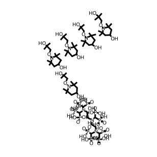 CC(C)(O)CON1C(C)(C)CC(O)CC1(C)C.CC(C)(O)CON1C(C)(C)CC(O)CC1(C)C.CC(C)(O)CON1C(C)(C)CC(O)CC1(C)C.CC(C)(O)CON1C(C)(C)CC(O)CC1(C)C.CC(C)(O)CON1C(C)(C)CC(O)CC1(C)C.O=P(O)(O)C(N(CCN(C(P(=O)(O)O)P(=O)(O)O)C(P(=O)(O)O)P(=O)(O)O)CCN(C(P(=O)(O)O)P(=O)(O)O)C(P(=O)(O)O)P(=O)(O)O)P(=O)(O)O